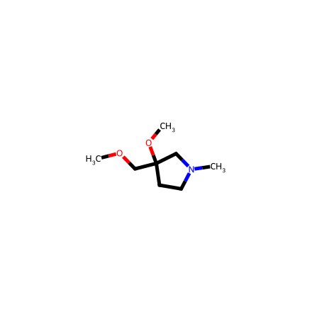 COCC1(OC)CCN(C)C1